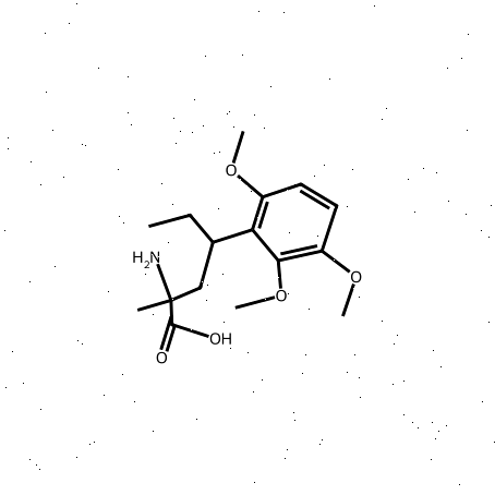 CCC(CC(C)(N)C(=O)O)c1c(OC)ccc(OC)c1OC